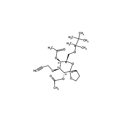 C#CCO[C@H]1[C@@H](OC(C)=O)[C@@H](CO[Si](C)(C)C(C)(C)C)O[C@@]2(CCCO2)[C@@H]1OC(C)=O